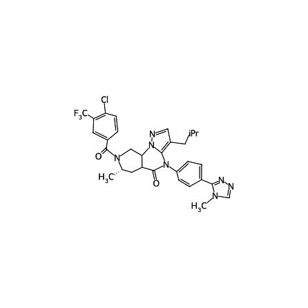 CC(C)Cc1cnn2c1N(c1ccc(-c3nncn3C)cc1)C(=O)C1C[C@H](C)N(C(=O)c3ccc(Cl)c(C(F)(F)F)c3)CC12